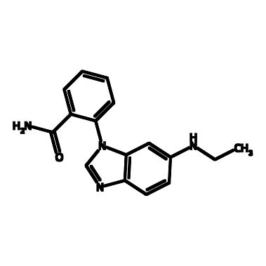 CCNc1ccc2ncn(-c3ccccc3C(N)=O)c2c1